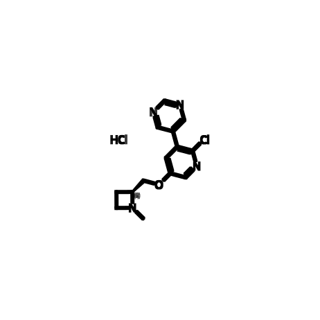 CN1CC[C@H]1COc1cnc(Cl)c(-c2cncnc2)c1.Cl